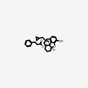 O=C(CCc1ccccc1)O[C@@]12CCC[C@@H]3Oc4c(O)ccc5c4[C@@]31CCN(CC1CC1)C2C5